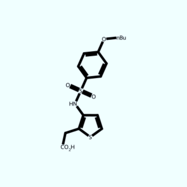 CCCCOc1ccc(S(=O)(=O)Nc2ccsc2CC(=O)O)cc1